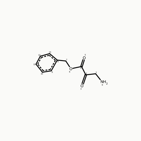 NCC(=O)C(=O)OCc1ccccc1